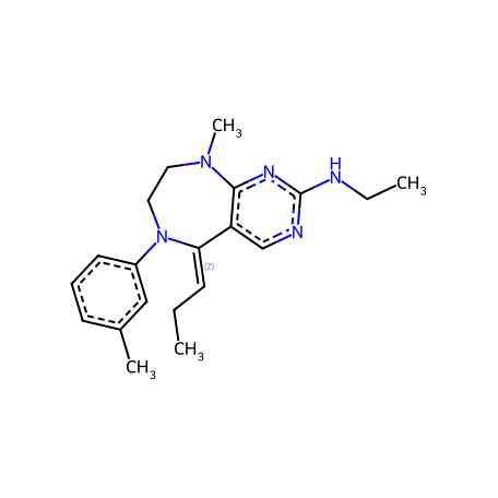 CC/C=C1/c2cnc(NCC)nc2N(C)CCN1c1cccc(C)c1